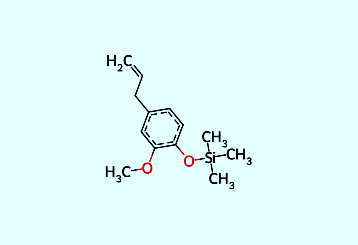 C=CCc1ccc(O[Si](C)(C)C)c(OC)c1